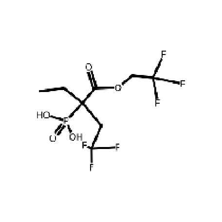 CCC(CC(F)(F)F)(C(=O)OCC(F)(F)F)P(=O)(O)O